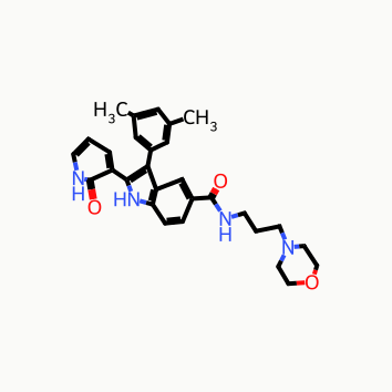 Cc1cc(C)cc(-c2c(-c3ccc[nH]c3=O)[nH]c3ccc(C(=O)NCCCN4CCOCC4)cc23)c1